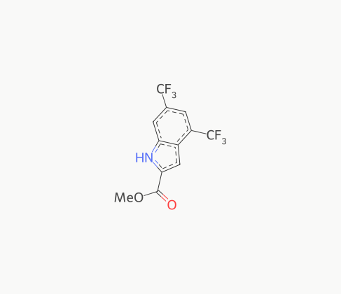 COC(=O)c1cc2c(C(F)(F)F)cc(C(F)(F)F)cc2[nH]1